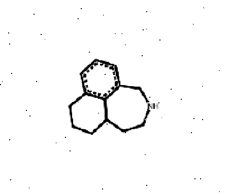 c1cc2c3c(c1)CNCCC3CCC2